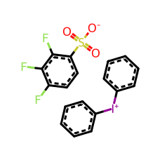 O=S(=O)([O-])c1ccc(F)c(F)c1F.c1ccc([I+]c2ccccc2)cc1